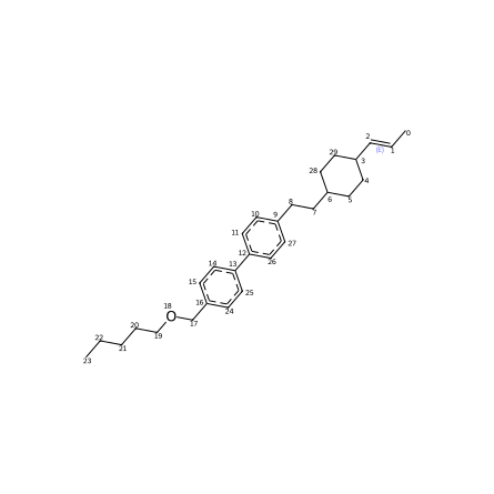 C/C=C/C1CCC(CCc2ccc(-c3ccc(COCCCCC)cc3)cc2)CC1